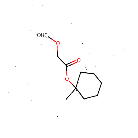 CC1(OC(=O)CO[C]=O)CCCCC1